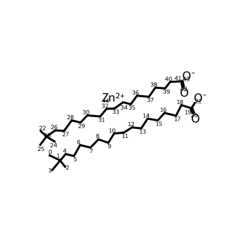 CC(C)(C)CCCCCCCCCCCCCCCC(=O)[O-].CC(C)(C)CCCCCCCCCCCCCCCC(=O)[O-].[Zn+2]